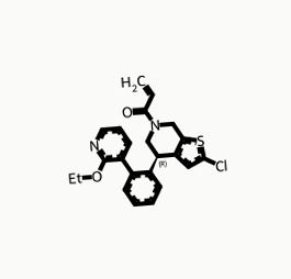 C=CC(=O)N1Cc2sc(Cl)cc2[C@@H](c2ccccc2-c2cccnc2OCC)C1